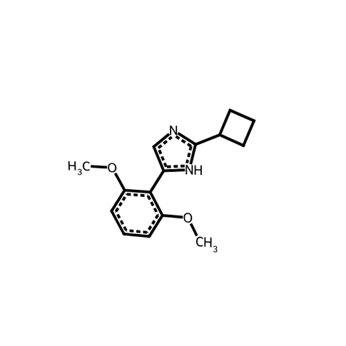 COc1cccc(OC)c1-c1cnc(C2CCC2)[nH]1